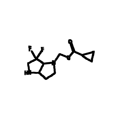 O=C(OCN1CCC2NCC(F)(F)C21)C1CC1